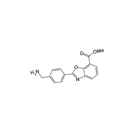 COC(=O)c1cccc2nc(-c3ccc(CN)cc3)oc12